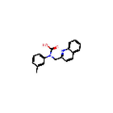 Cc1cccc(N(Cc2ccc3ccccc3n2)C(=O)O)c1